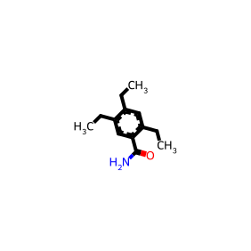 CCc1cc(CC)c(C(N)=O)cc1CC